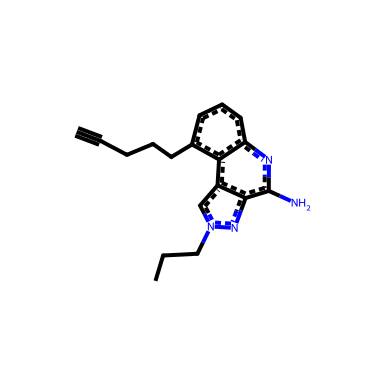 C#CCCCc1cccc2nc(N)c3nn(CCC)cc3c12